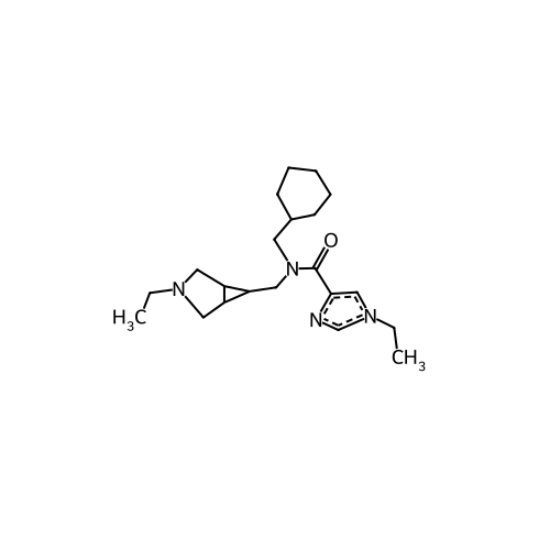 CCN1CC2C(C1)C2CN(CC1CCCCC1)C(=O)c1cn(CC)cn1